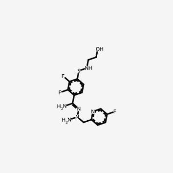 N/C(=N\N(N)Cc1ccc(F)cn1)c1ccc(SNCCO)c(F)c1F